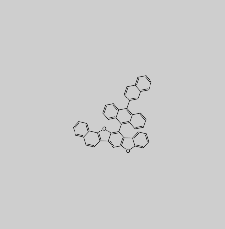 c1ccc2cc(-c3c4ccccc4c(-c4c5oc6c7ccccc7ccc6c5cc5oc6ccccc6c45)c4ccccc34)ccc2c1